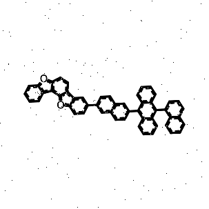 c1ccc2c(-c3c4ccccc4c(-c4ccc5cc(-c6ccc7oc8c(ccc9oc%10ccccc%10c98)c7c6)ccc5c4)c4ccccc34)cccc2c1